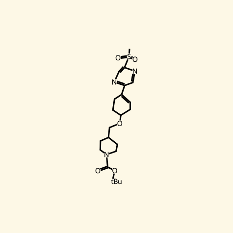 CC(C)(C)OC(=O)N1CCC(COC2CC=C(c3cnc(S(C)(=O)=O)cn3)CC2)CC1